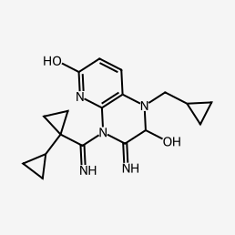 N=C1C(O)N(CC2CC2)c2ccc(O)nc2N1C(=N)C1(C2CC2)CC1